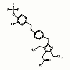 CCc1nn(Cc2ccc(OCc3ccc(OC(F)(F)F)c(Cl)c3)cc2)c(CC)c1CC(=O)O